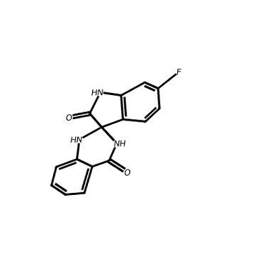 O=C1NC2(Nc3ccccc31)C(=O)Nc1cc(F)ccc12